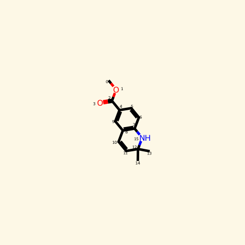 COC(=O)c1ccc2c(c1)C=CC(C)(C)N2